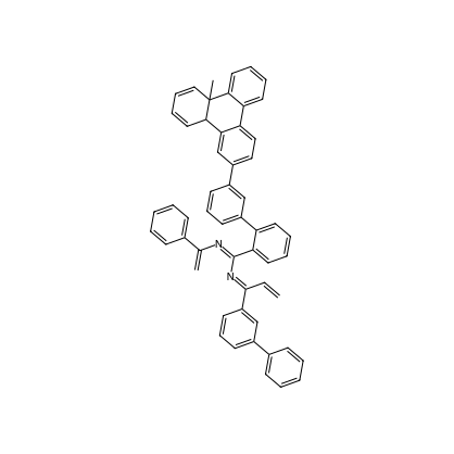 C=C/C(=N\C(=N/C(=C)c1ccccc1)c1ccccc1-c1cccc(-c2ccc3c(c2)C2C=CC=CC2(C)c2ccccc2-3)c1)c1cccc(-c2ccccc2)c1